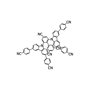 N#Cc1ccc(-c2ccc3c(c2)c2cc(-c4ccc(C#N)cc4)ccc2n3-c2cc(C#N)cc(-n3c4ccc(-c5ccc(C#N)cc5)cc4c4cc(-c5ccc(C#N)cc5)ccc43)c2-c2cc(C#N)cc(C#N)c2)cc1